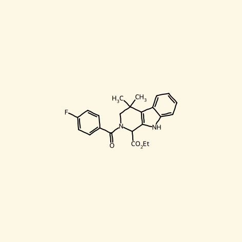 CCOC(=O)C1c2[nH]c3ccccc3c2C(C)(C)CN1C(=O)c1ccc(F)cc1